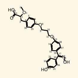 CO[C@@H](Cc1ccc(OCCCOc2ccc(/C(=N/O)c3ccc(O)cc3)cc2)cc1)C(=O)O